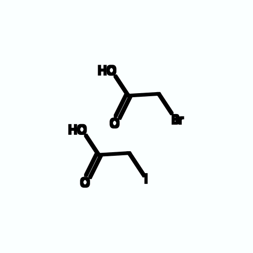 O=C(O)CBr.O=C(O)CI